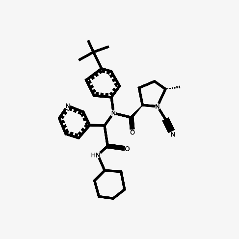 C[C@H]1CC[C@H](C(=O)N(c2ccc(C(C)(C)C)cc2)C(C(=O)NC2CCCCC2)c2cccnc2)N1C#N